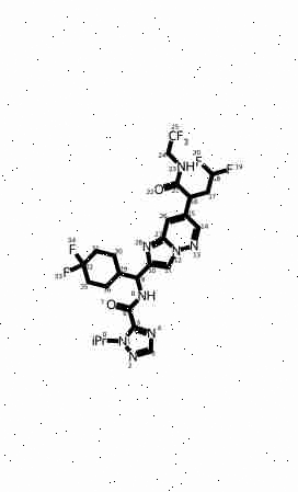 CC(C)n1ncnc1C(=O)NC(c1cn2ncc(C(CC(F)F)C(=O)NCC(F)(F)F)cc2n1)C1CCC(F)(F)CC1